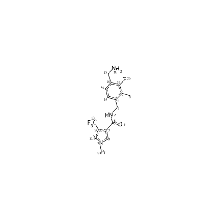 Cc1c(CNC(=O)c2cn(C(C)C)nc2C(F)(F)F)ccc(CN)c1F